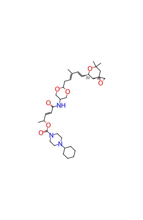 CC(C=C[C@@H]1C[C@]2(CO2)CC(C)(C)O1)=CCC1OCC(NC(=O)C=CC(C)OC(=O)N2CCN(C3CCCCC3)CC2)CO1